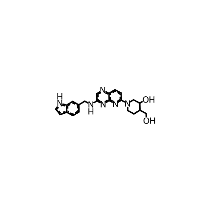 OCC1CCN(c2ccc3ncc(NCc4ccc5cc[nH]c5c4)nc3n2)CC1O